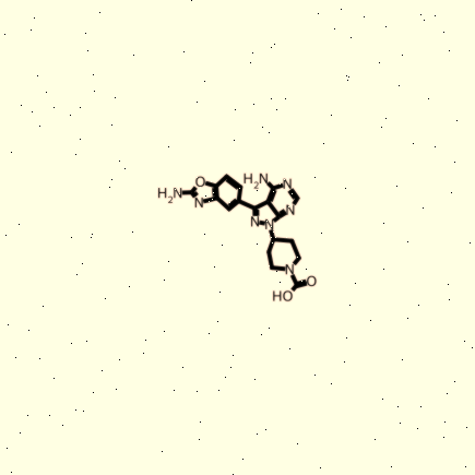 Nc1nc2cc(-c3nn(C4CCN(C(=O)O)CC4)c4ncnc(N)c34)ccc2o1